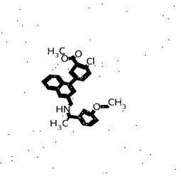 CCOc1cccc([C@@H](C)NCc2cc(-c3ccc(Cl)c(C(=O)OC)c3)c3ccccc3c2)c1